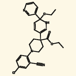 CCOC(=O)C1(C2=CNC(OCC)(c3cccnc3)C=C2)CCN(c2ccc(Cl)cc2C#N)CC1